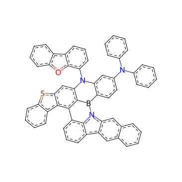 c1ccc(N(c2ccccc2)c2ccc3c(c2)N(c2cccc4c2oc2ccccc24)c2cc4sc5ccccc5c4c4c2B3n2c3cc5ccccc5cc3c3cccc-4c32)cc1